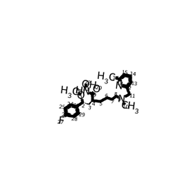 CO[C@H](C[C@H](CCCCN(C)Cc1cccc(C)n1)C(=O)NO)c1ccc(F)cc1